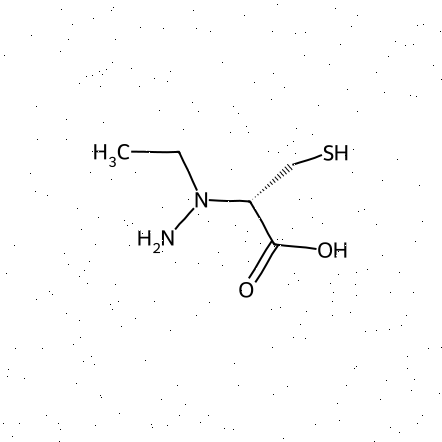 CCN(N)[C@H](CS)C(=O)O